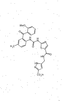 COc1ccccc1C(=O)c1cc(C)ccc1NC(=O)Nc1ncc(C(=O)NCc2cc(C(=O)O)n[nH]2)s1